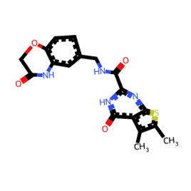 Cc1sc2nc(C(=O)NCc3ccc4c(c3)NC(=O)CO4)[nH]c(=O)c2c1C